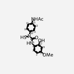 COc1ccc(NC(=O)N(S)c2ccc(NC(C)=O)cc2)c(O)c1